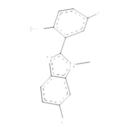 Cn1c(-c2cc(Cl)ccc2O)nc2ccc(Cl)cc21